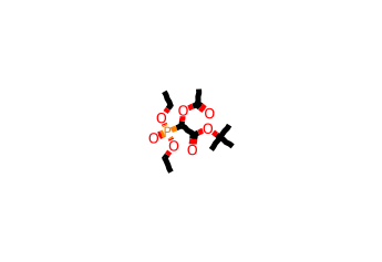 CCOP(=O)(OCC)C(OC(C)=O)C(=O)OC(C)(C)C